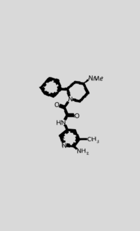 CN[C@H]1CCN(C(=O)C(=O)Nc2cnc(N)c(C)c2)C(c2ccccc2)C1